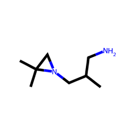 CC(CN)CN1CC1(C)C